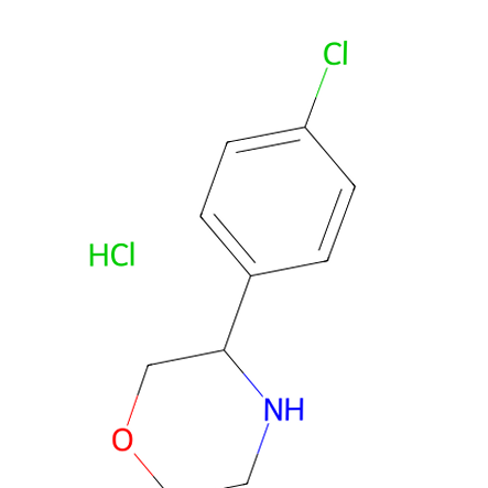 Cl.Clc1ccc(C2COCCN2)cc1